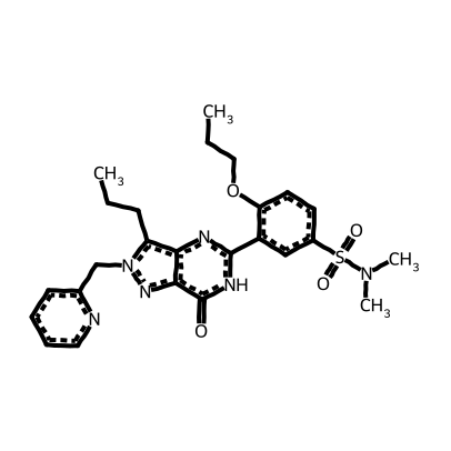 CCCOc1ccc(S(=O)(=O)N(C)C)cc1-c1nc2c(CCC)n(Cc3ccccn3)nc2c(=O)[nH]1